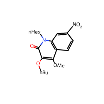 CCCCCCn1c(=O)c(OCCCC)c(OC)c2ccc([N+](=O)[O-])cc21